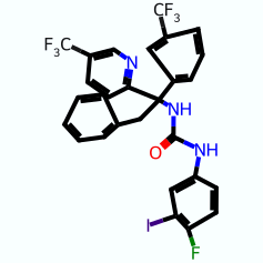 O=C(Nc1ccc(F)c(I)c1)NC(Cc1ccccc1)(c1cccc(C(F)(F)F)c1)c1ccc(C(F)(F)F)cn1